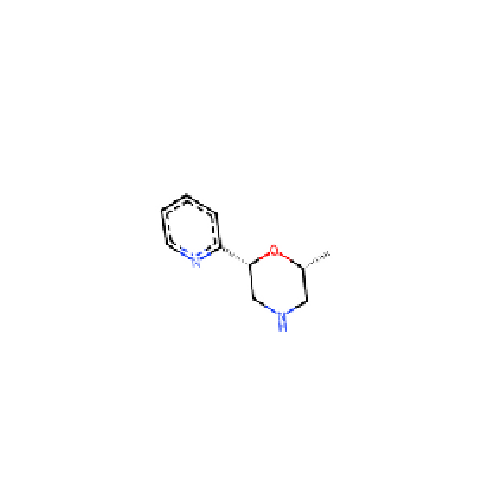 C[C@@H]1CNC[C@H](c2ccccn2)O1